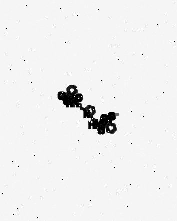 O=[N+]([O-])c1ccccc1S(=O)(=O)NCCc1cccc(CCNS(=O)(=O)c2ccccc2[N+](=O)[O-])n1